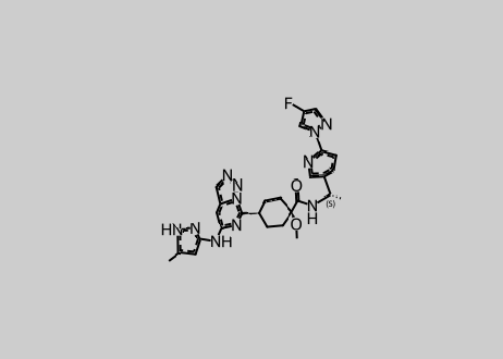 CO[C@]1(C(=O)N[C@@H](C)c2ccc(-n3cc(F)cn3)nc2)CC[C@H](c2nc(Nc3cc(C)[nH]n3)cc3cnnn32)CC1